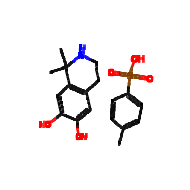 CC1(C)NCCc2cc(O)c(O)cc21.Cc1ccc(S(=O)(=O)O)cc1